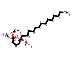 CCCCCCCCCCCCCC[Si]1(OC)CCCC(OC)(OC)O1